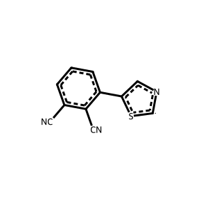 N#Cc1cccc(-c2cn[c]s2)c1C#N